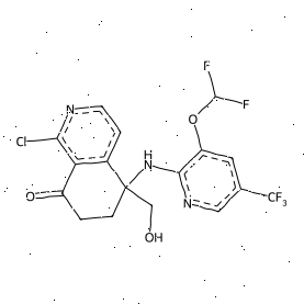 O=C1CCC(CO)(Nc2ncc(C(F)(F)F)cc2OC(F)F)c2ccnc(Cl)c21